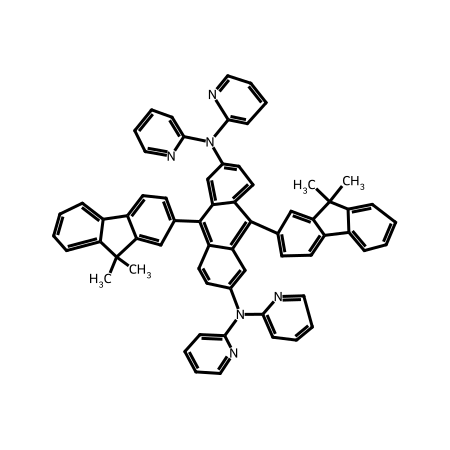 CC1(C)c2ccccc2-c2ccc(-c3c4ccc(N(c5ccccn5)c5ccccn5)cc4c(-c4ccc5c(c4)C(C)(C)c4ccccc4-5)c4ccc(N(c5ccccn5)c5ccccn5)cc34)cc21